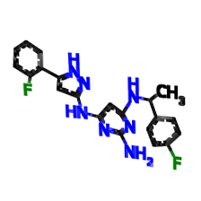 CC(Nc1cc(Nc2cc(-c3ccccc3F)[nH]n2)nc(N)n1)c1ccc(F)cc1